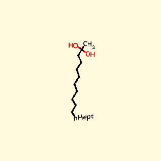 CCCCCCCCCCCCCCCCC(C)(O)O